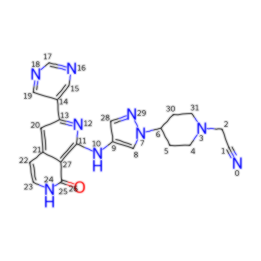 N#CCN1CCC(n2cc(Nc3nc(-c4cncnc4)cc4cc[nH]c(=O)c34)cn2)CC1